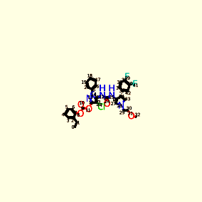 CCc1ccccc1OC(=O)Oc1nn(-c2ccccc2)c(NC(=O)N[C@@H]2CN(CCOC)C[C@H]2c2ccc(F)c(F)c2)c1Cl